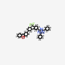 FC1(F)c2ccc(-c3ccc4oc5ccccc5c4c3)cc2-c2cc(-c3nc(-c4ccccc4)nc(-c4ccccc4)n3)ccc21